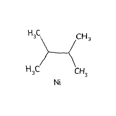 CC(C)C(C)C.[Ni]